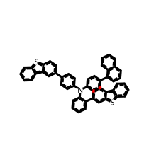 c1ccc(N(c2ccc(-c3ccc4sc5ccccc5c4c3)cc2)c2ccc(-c3cccc4ccccc34)cc2)c(-c2ccc3c(c2)sc2ccccc23)c1